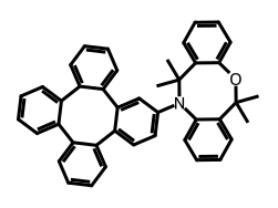 CC1(C)Oc2ccccc2C(C)(C)N(c2ccc3c(c2)-c2ccccc2-c2ccccc2-c2ccccc2-3)c2ccccc21